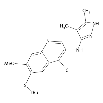 COc1cc2ncc(Nc3n[nH]c(C)c3C)c(Cl)c2cc1SC(C)(C)C